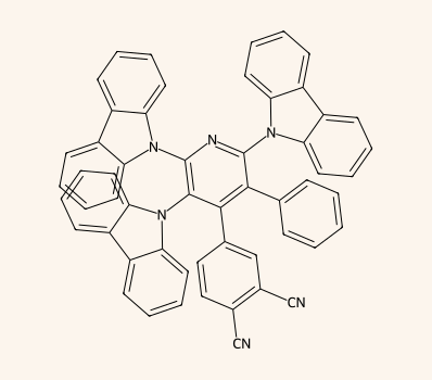 N#Cc1ccc(-c2c(-c3ccccc3)c(-n3c4ccccc4c4ccccc43)nc(-n3c4ccccc4c4ccccc43)c2-n2c3ccccc3c3ccccc32)cc1C#N